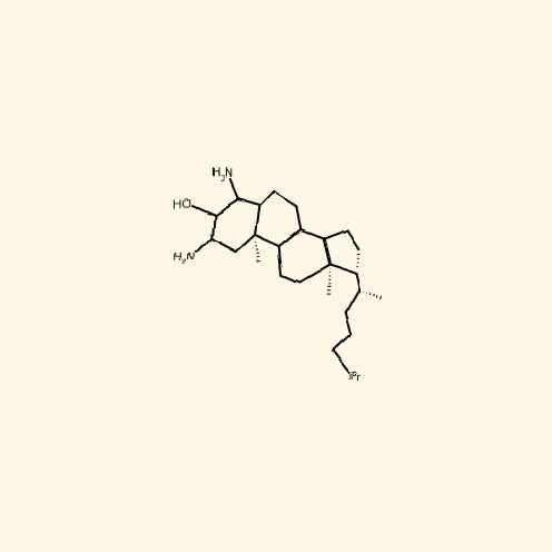 CC(C)CCC[C@@H](C)[C@H]1CCC2C3CCC4C(N)C(O)C(N)C[C@]4(C)C3CC[C@@]21C